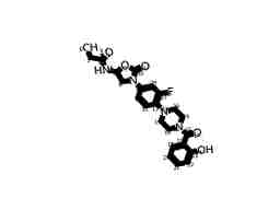 CCC(=O)NC1CN(c2ccc(N3CCN(C(=O)c4ccccc4O)CC3)c(F)c2)C(=O)O1